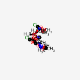 CCC1(CC2(c3cccc(Cl)c3)CO2)C(=O)c2ccccc2C1=O.CCCOP(=S)(OCCC)SCC(=O)N1CCCCC1C.CCN(CC)C(=O)n1cnc(S(=O)(=O)c2c(C)cc(C)cc2C)n1.COP(=S)(OC)SCC(=O)N(c1ccc(Cl)cc1)C(C)C